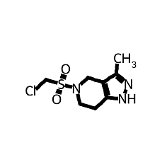 Cc1n[nH]c2c1CN(S(=O)(=O)CCl)CC2